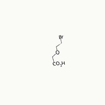 O=C(O)COCCBr